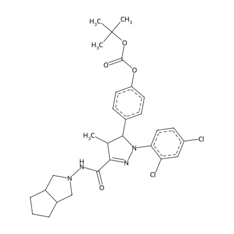 CC1C(C(=O)NN2CC3CCCC3C2)=NN(c2ccc(Cl)cc2Cl)C1c1ccc(OC(=O)OC(C)(C)C)cc1